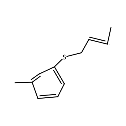 C[C]=CCSc1cccc(C)c1